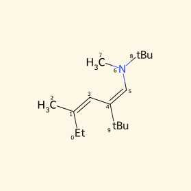 CC/C(C)=C\C(=C/N(C)C(C)(C)C)C(C)(C)C